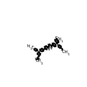 CCCc1ccc(N(c2ccc(C)cc2)c2ccc(-c3ccc(-c4ccc(-c5ccc(N(c6ccc(C)cc6)c6ccc(CCC(=O)OC)cc6)cc5)cn4)nc3)cc2)cc1